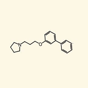 [c]1cccc(-c2cccc(OCCCN3CCCC3)c2)c1